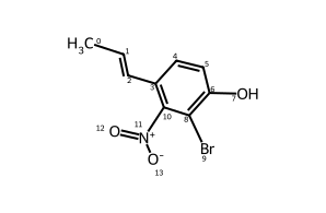 CC=Cc1ccc(O)c(Br)c1[N+](=O)[O-]